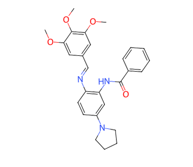 COc1cc(C=Nc2ccc(N3CCCC3)cc2NC(=O)c2ccccc2)cc(OC)c1OC